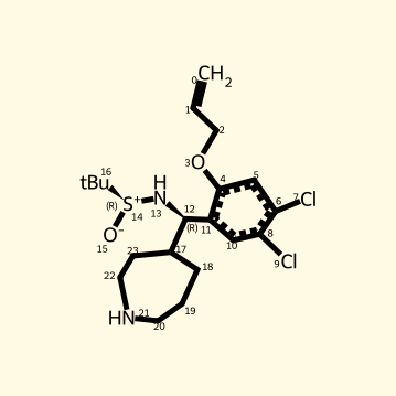 C=CCOc1cc(Cl)c(Cl)cc1[C@H](N[S@@+]([O-])C(C)(C)C)C1CCCNCC1